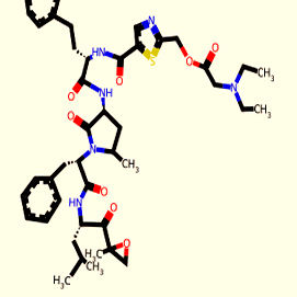 CCN(CC)CC(=O)OCc1ncc(C(=O)N[C@@H](CCc2ccccc2)C(=O)N[C@H]2CC(C)N([C@@H](Cc3ccccc3)C(=O)N[C@@H](CC(C)C)C(=O)C3(C)CO3)C2=O)s1